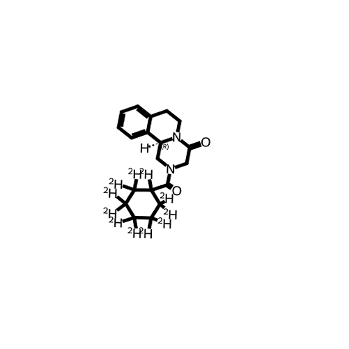 [2H]C1([2H])C([2H])([2H])C([2H])([2H])C([2H])(C(=O)N2CC(=O)N3CCc4ccccc4[C@@H]3C2)C([2H])([2H])C1([2H])[2H]